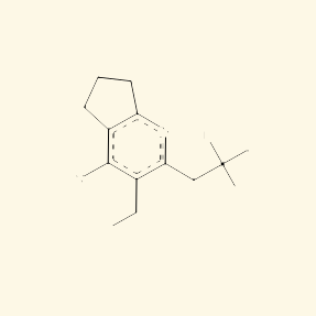 CCc1c(CC(F)(F)F)nc2c(c1N)CCC2